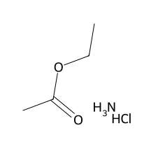 CCOC(C)=O.Cl.N